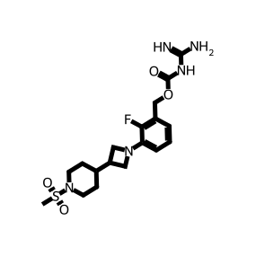 CS(=O)(=O)N1CCC(C2CN(c3cccc(COC(=O)NC(=N)N)c3F)C2)CC1